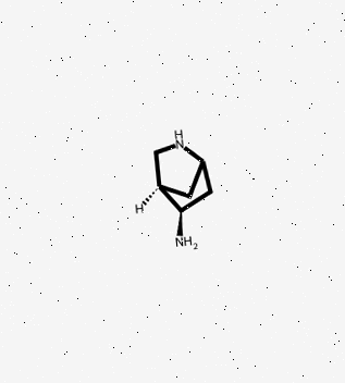 N[C@@H]1CC2C[C@@H]1CN2